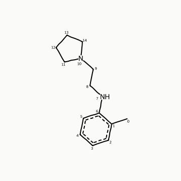 Cc1ccccc1NCCN1CCCC1